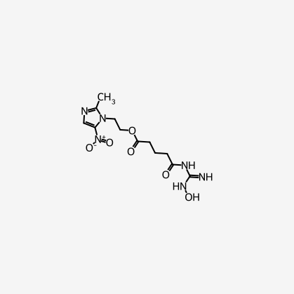 Cc1ncc([N+](=O)[O-])n1CCOC(=O)CCCC(=O)NC(=N)NO